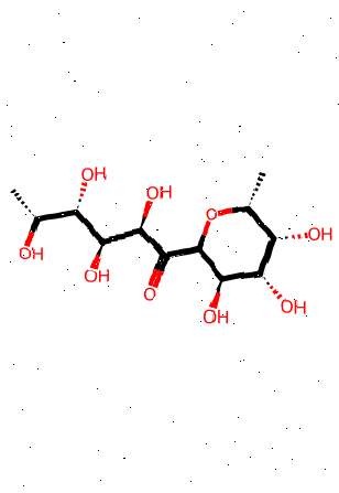 C[C@@H](O)[C@H](O)[C@H](O)[C@@H](O)C(=O)C1O[C@H](C)[C@H](O)[C@H](O)[C@H]1O